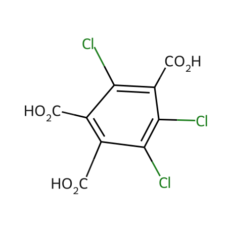 O=C(O)c1c(Cl)c(Cl)c(C(=O)O)c(C(=O)O)c1Cl